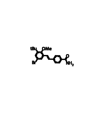 COc1c(/C=C/c2ccc(C(N)=O)cc2)cc(Br)cc1C(C)(C)C